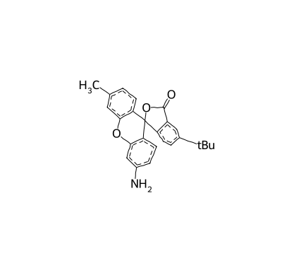 Cc1ccc2c(c1)Oc1cc(N)ccc1C21OC(=O)c2cc(C(C)(C)C)ccc21